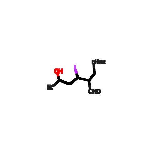 CCCCCCCC(C=O)C(I)CC(O)CC